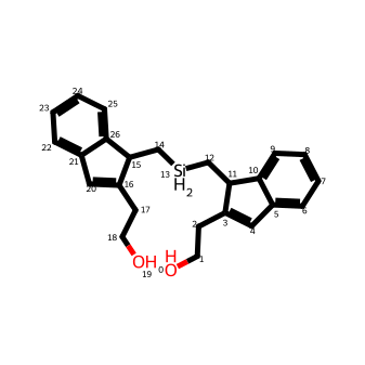 OCCC1=Cc2ccccc2C1C[SiH2]CC1C(CCO)=Cc2ccccc21